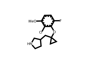 COc1ccc(F)c(OC2(CC3CCNC3)CC2)c1Cl